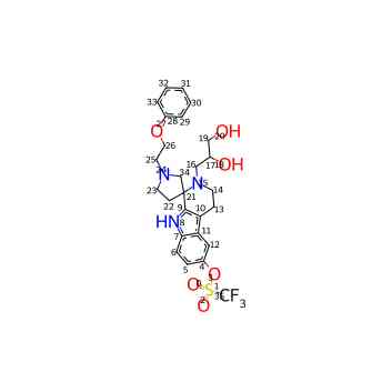 O=S(=O)(Oc1ccc2[nH]c3c(c2c1)CCN(CC(O)CO)C31CCN(CCOc2ccccc2)C1)C(F)(F)F